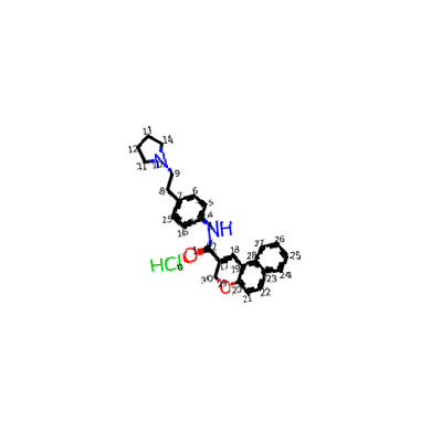 Cl.O=C(Nc1ccc(CCN2CCCC2)cc1)C1=Cc2c(ccc3ccccc23)OC1